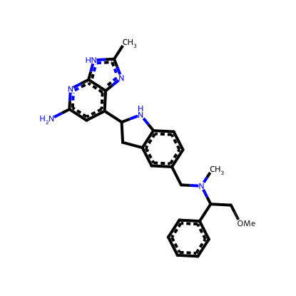 COCC(c1ccccc1)N(C)Cc1ccc2c(c1)CC(c1cc(N)nc3[nH]c(C)nc13)N2